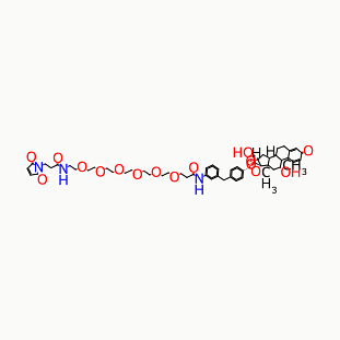 C[C@]12C=CC(=O)C=C1CC[C@@H]1C2[C@@H](O)C[C@@]2(C)C1C[C@H]1O[C@@H](c3ccc(Cc4cccc(NC(=O)CCOCCOCCOCCOCCOCCOCCNC(=O)CCN5C(=O)C=CC5=O)c4)cc3)O[C@]12C(=O)CO